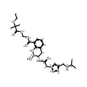 CCOC(C)(C)C(=O)OCOC(=O)c1cccc2c1OB(O)[C@@H](NC(=O)Cn1cc(CNC(C)C)nn1)C2